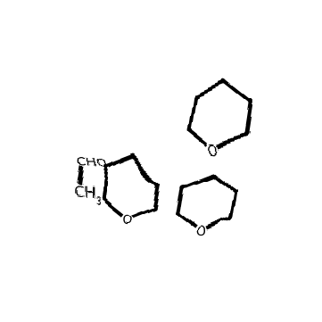 C1CCOCC1.C1CCOCC1.C1CCOCC1.CC=O